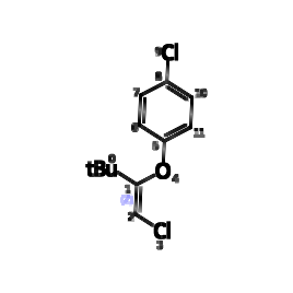 CC(C)(C)/C(=C/Cl)Oc1ccc(Cl)cc1